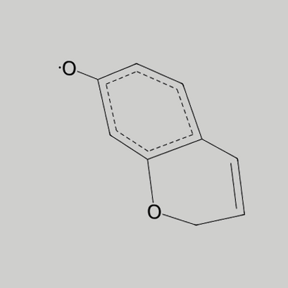 [O]c1ccc2c(c1)OCC=C2